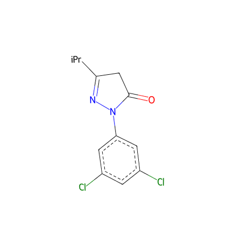 CC(C)C1=NN(c2cc(Cl)cc(Cl)c2)C(=O)C1